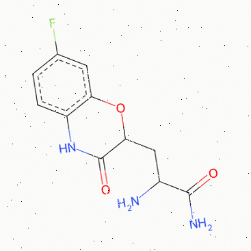 NC(=O)C(N)CC1Oc2cc(F)ccc2NC1=O